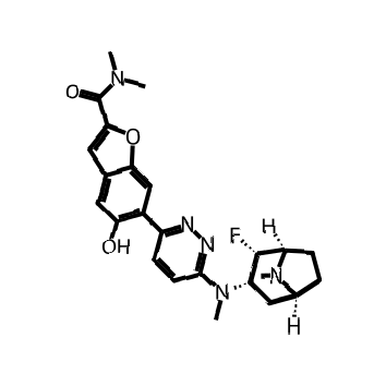 CN(C)C(=O)c1cc2cc(O)c(-c3ccc(N(C)[C@H]4C[C@@H]5CC[C@H]([C@H]4F)N5C)nn3)cc2o1